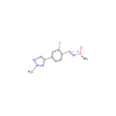 Cn1cc(-c2ccc(/C=N/[S@@+]([O-])C(C)(C)C)c(F)c2)cn1